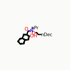 CCCCCCCCCCCCON(CCC)C(=O)c1cc2ccccc2cc1O